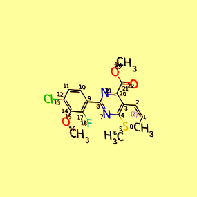 C/C=C\c1c(SC)nc(-c2ccc(Cl)c(OC)c2F)nc1C(=O)OC